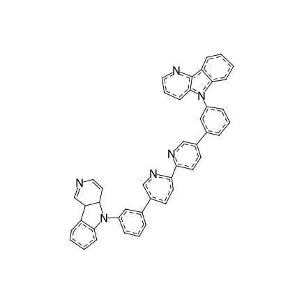 C1=CC2C(C=N1)c1ccccc1N2c1cccc(-c2ccc(-c3ccc(-c4cccc(-n5c6ccccc6c6ncccc65)c4)cn3)nc2)c1